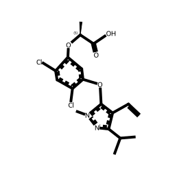 C=Cc1c(C(C)C)nn(C)c1Oc1cc(O[C@@H](C)C(=O)O)c(Cl)cc1Cl